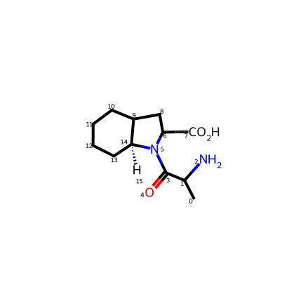 CC(N)C(=O)N1C(C(=O)O)CC2CCCC[C@@H]21